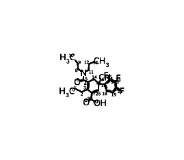 CCCC1=C(C(=O)N(CCC)CCC)CC(C)(c2ccc(F)c(F)c2F)C=C1C(=O)O